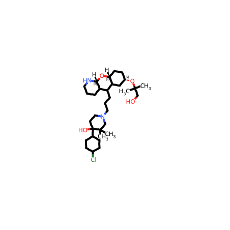 CC(C)(CO)O[C@H]1CC[C@H]2O[C@H]3NCCCC3C(CCCN3CCC(O)(C4CCC(Cl)CC4)C(C)(C)C3)C2C1